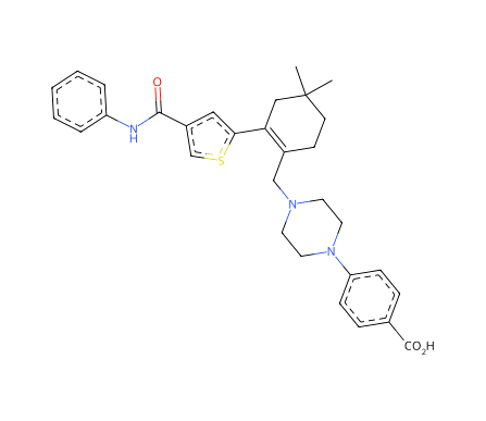 CC1(C)CCC(CN2CCN(c3ccc(C(=O)O)cc3)CC2)=C(c2cc(C(=O)Nc3ccccc3)cs2)C1